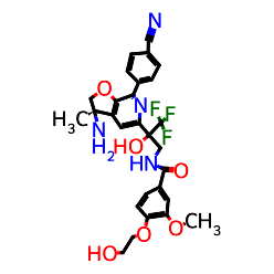 COc1cc(C(=O)NCC(O)(c2cc3c(c(-c4ccc(C#N)cc4)n2)OC[C@]3(C)N)C(F)(F)F)ccc1OCCO